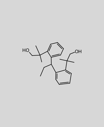 CCC(c1ccccc1C(C)(C)CO)c1ccccc1C(C)(C)CO